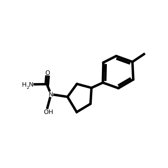 Cc1ccc(C2CCC(N(O)C(N)=O)C2)cc1